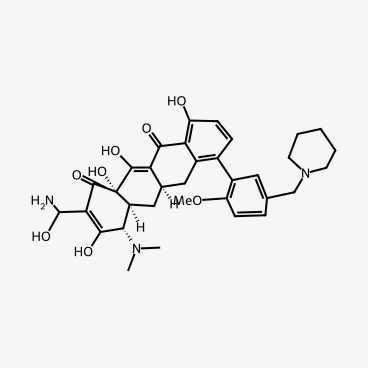 COc1ccc(CN2CCCCC2)cc1-c1ccc(O)c2c1C[C@H]1C[C@H]3[C@H](N(C)C)C(O)=C(C(N)O)C(=O)[C@@]3(O)C(O)=C1C2=O